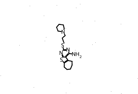 Nc1nc(SCCCN2CCCCC2)nc2sc3c(c12)CCCCC3